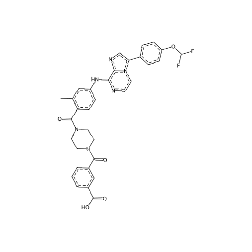 Cc1cc(Nc2nccn3c(-c4ccc(OC(F)F)cc4)cnc23)ccc1C(=O)N1CCN(C(=O)c2cccc(C(=O)O)c2)CC1